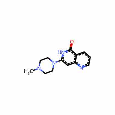 CN1CCN(c2cc3ncccc3c(=O)[nH]2)CC1